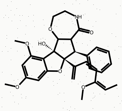 C=C(/C=C\C(=C/C)OC)[C@@]12Oc3cc(OC)cc(OC)c3[C@@]1(O)C1OCCNC(=O)C1[C@H]2c1ccccc1